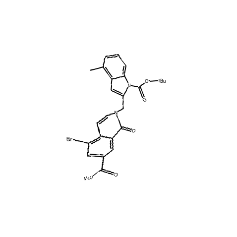 COC(=O)c1cc(Br)c2ccn(Cc3cc4c(C)cccc4n3C(=O)OC(C)(C)C)c(=O)c2c1